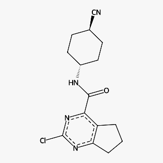 N#C[C@H]1CC[C@H](NC(=O)c2nc(Cl)nc3c2CCC3)CC1